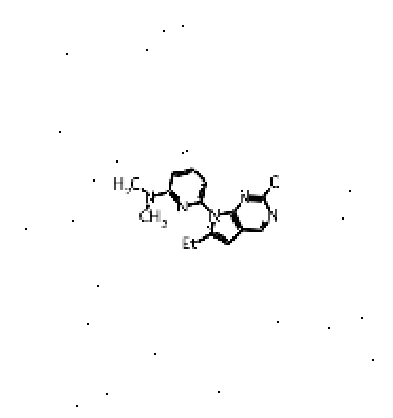 [CH2]N([CH2])c1cccc(-n2c(CC)cc3cnc(Cl)nc32)n1